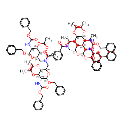 CC(=O)O[C@@H]1[C@@H](NC(=O)OCc2ccccc2)[C@@H](OCc2ccccc2)O[C@H](CN(C[C@H]2O[C@H](OCc3ccccc3)[C@H](NC(=O)OCc3ccccc3)[C@@H](OC(C)=O)[C@@H]2OC(C)=O)C(=O)c2cccc(C(=O)N(C[C@H]3O[C@H](OCc4ccccc4)[C@H](NC(=O)OCc4ccccc4)[C@@H](OC(C)=O)[C@@H]3OC(C)=O)C[C@H]3O[C@H](OCc4ccccc4)[C@H](NC(=O)OCc4ccccc4)[C@@H](OC(C)=O)[C@@H]3OC(C)=O)c2)[C@H]1OC(C)=O